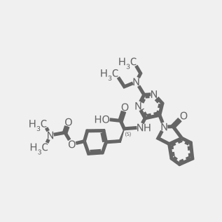 CCN(CC)c1ncc(N2Cc3ccccc3C2=O)c(N[C@@H](CC2=CCC(OC(=O)N(C)C)C=C2)C(=O)O)n1